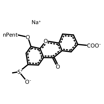 CCCCCOc1cc([S+](C)[O-])cc2c(=O)c3cc(C(=O)[O-])ccc3oc12.[Na+]